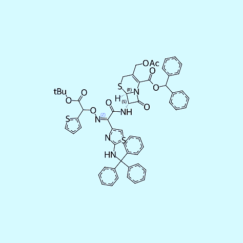 CC(=O)OCC1=C(C(=O)OC(c2ccccc2)c2ccccc2)N2C(=O)[C@H](NC(=O)/C(=N\OC(C(=O)OC(C)(C)C)c3cccs3)c3csc(NC(c4ccccc4)(c4ccccc4)c4ccccc4)n3)[C@H]2SC1